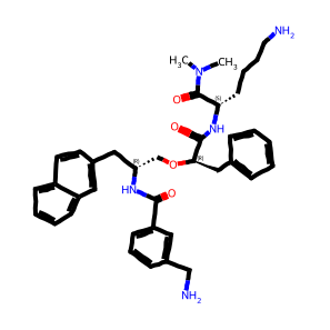 CN(C)C(=O)[C@H](CCCCN)NC(=O)[C@@H](Cc1ccccc1)OC[C@@H](Cc1ccc2ccccc2c1)NC(=O)c1cccc(CN)c1